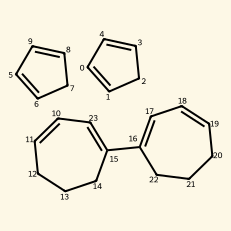 C1=CCC=C1.C1=CCC=C1.C1=CCCCC(C2=CC=CCCC2)=C1